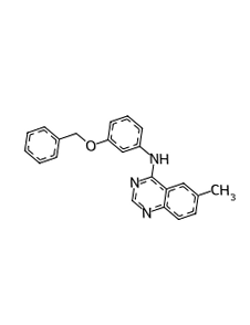 Cc1ccc2ncnc(Nc3cccc(OCc4ccccc4)c3)c2c1